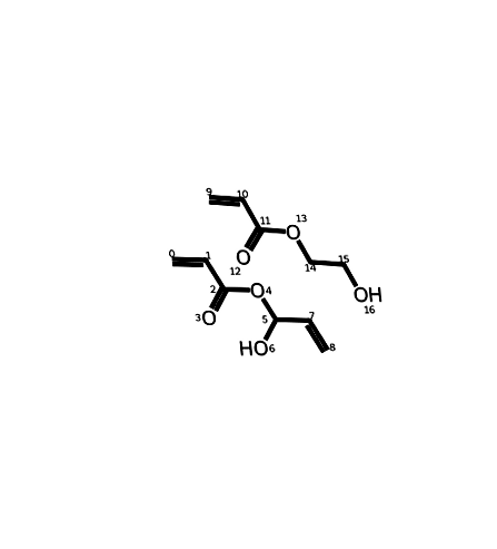 C=CC(=O)OC(O)C=C.C=CC(=O)OCCO